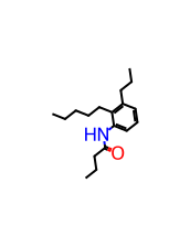 CCCCCc1c(CCC)cccc1NC(=O)CCC